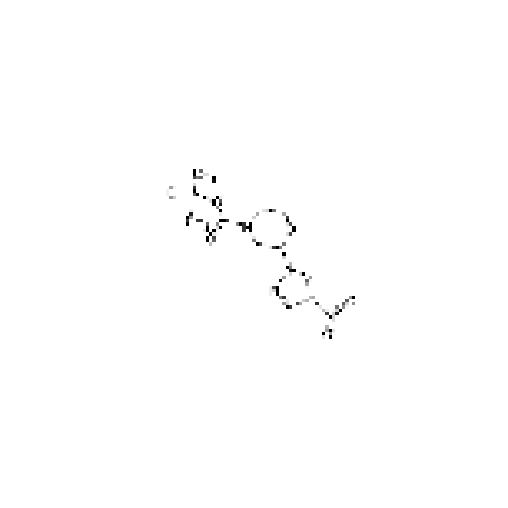 CC(C)(C)OC(=O)N1CCOC(n2cc([N+](=O)[O-])cn2)C1